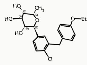 CCOc1ccc(Cc2cc([C@@H]3O[C@@H](C)[C@@H](O)[C@H](O)[C@H]3O)ccc2Cl)cc1